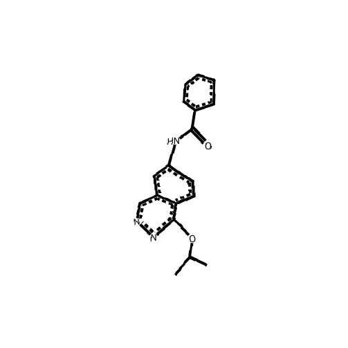 CC(C)Oc1nncc2cc(NC(=O)c3ccccc3)ccc12